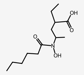 CCCCCC(=O)N(O)C(C)CC(CC)C(=O)O